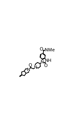 C=C1CC2CN(C(=O)CN3CCC(n4c(=O)[nH]c5cc(C(=O)NC)ccc54)CC3)CC2C1